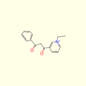 CC[n+]1cccc(C(=O)CC(=O)c2ccccc2)c1